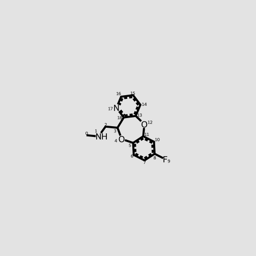 CNCC1Oc2ccc(F)cc2Oc2cccnc21